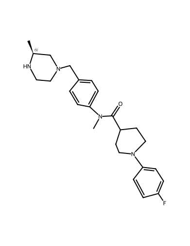 C[C@H]1CN(Cc2ccc(N(C)C(=O)C3CCN(c4ccc(F)cc4)CC3)cc2)CCN1